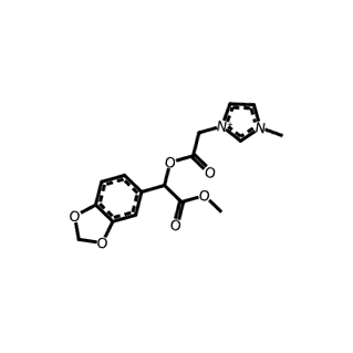 COC(=O)C(OC(=O)C[n+]1ccn(C)c1)c1ccc2c(c1)OCO2